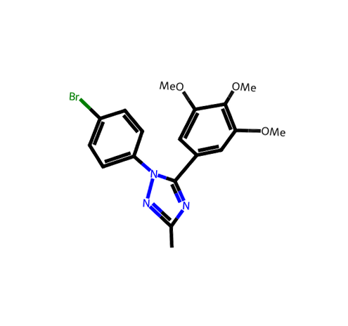 COc1cc(-c2nc(C)nn2-c2ccc(Br)cc2)cc(OC)c1OC